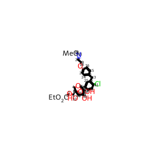 CCOC(=O)OC[C@@]12CO[C@@](c3ccc(Cl)c(Cc4ccc(OC/C=N/OC)cc4)c3)(O1)[C@H](O)[C@@H](O)[C@@H]2O